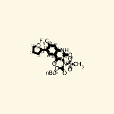 CCCCOC(=O)N(n1c(=O)[nH]c2cc(C(F)(F)F)c(C3CCCO3)cc2c1=O)S(C)(=O)=O